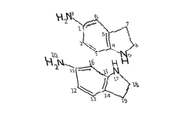 Nc1ccc2c(c1)CCN2.Nc1ccc2c(c1)NCC2